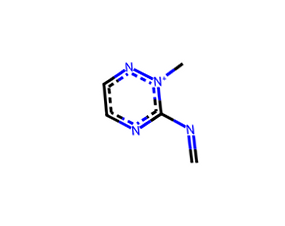 C=Nc1nccn[n+]1C